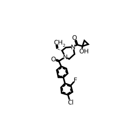 C=C[C@@H]1CN(C(=O)C2(O)CC2)CCN1C(=O)c1ccc(-c2ccc(Cl)cc2F)cc1